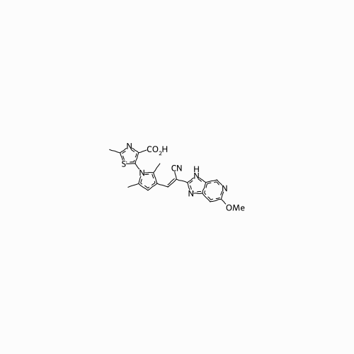 COc1cc2nc(C(C#N)=Cc3cc(C)n(-c4sc(C)nc4C(=O)O)c3C)[nH]c2cn1